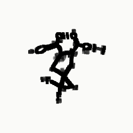 O=C(O)[C@@H]1CC2(CN1C(=O)O)CC2(F)F